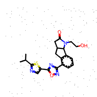 CC(C)c1ncc(-c2nc(-c3cccc4c3CC3CC(=O)N(CCO)C43)no2)s1